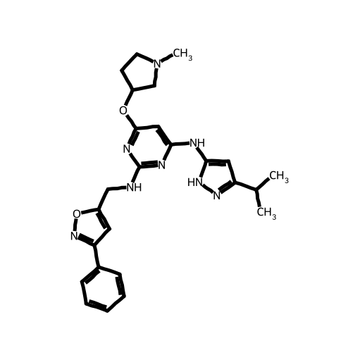 CC(C)c1cc(Nc2cc(OC3CCN(C)C3)nc(NCc3cc(-c4ccccc4)no3)n2)[nH]n1